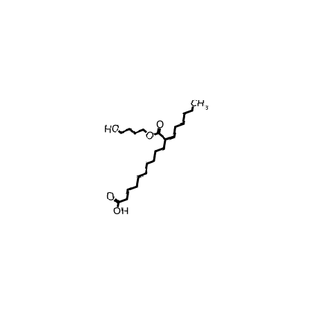 CCCCCCC(CCCCCCCCCC(=O)O)C(=O)OCCCCO